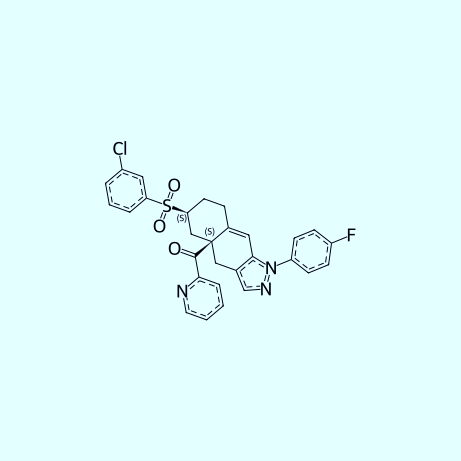 O=C(c1ccccn1)[C@]12Cc3cnn(-c4ccc(F)cc4)c3C=C1CC[C@H](S(=O)(=O)c1cccc(Cl)c1)C2